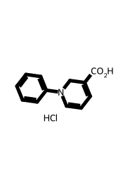 Cl.O=C(O)C1=CC=CN(c2ccccc2)C1